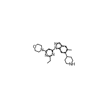 CCc1nc(N2CCOCC2)cc(-n2ncc3cc(C)c(C4CCNCC4)cc32)n1